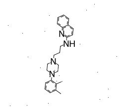 Cc1cccc(N2CCN(CCCNc3ccc4ccccc4n3)CC2)c1C